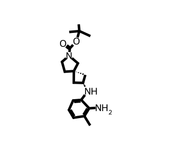 Cc1cccc(N[C@H]2C[C@@]3(CCN(C(=O)OC(C)(C)C)C3)C2)c1N